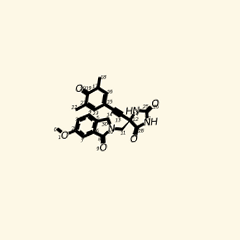 COc1ccc2c(c1)C(=O)N(C[C@@]1(C#CC3=CC(C)C(=O)C(C)=C3)NC(=O)NC1=O)C2